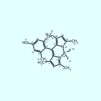 CC1=CC(C)=[N+]2C1=C(c1c(C)cc(O)cc1C)c1c(C)cc(C)n1[B-]2(F)F